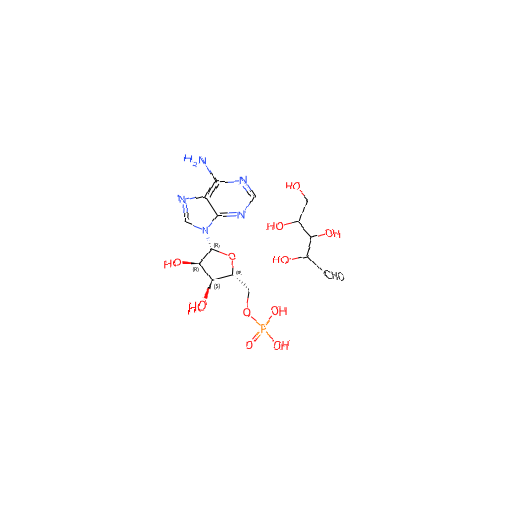 Nc1ncnc2c1ncn2[C@@H]1O[C@H](COP(=O)(O)O)[C@@H](O)[C@H]1O.O=CC(O)C(O)C(O)CO